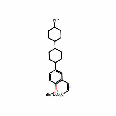 CCCCOc1ccc(C2CCC(C3CCC(CCC)CC3)CC2)cc1/C=C\C(=O)OCC